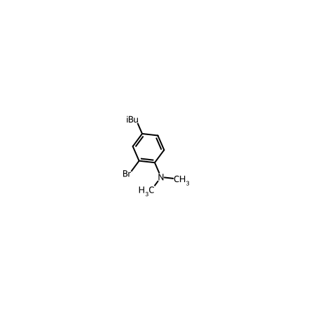 CCC(C)c1ccc(N(C)C)c(Br)c1